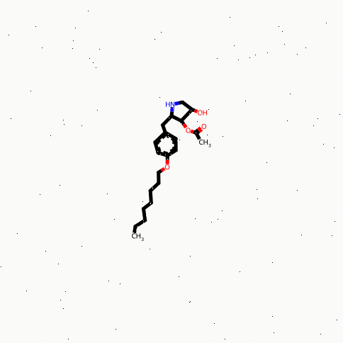 CCCCCCCCOc1ccc(CC2NCC(O)C2OC(C)=O)cc1